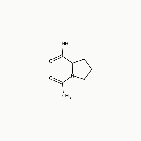 CC(=O)N1CCCC1C([NH])=O